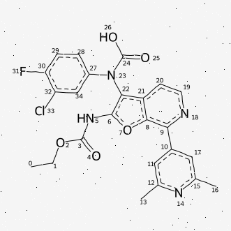 CCOC(=O)Nc1oc2c(-c3cc(C)nc(C)c3)nccc2c1N(C(=O)O)c1ccc(F)c(Cl)c1